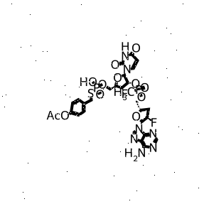 CC(=O)Oc1ccc(CSP(=O)(O)OC[C@H]2O[C@@H](n3ccc(=O)[nH]c3=O)[C@H](OP(C)(=O)OC[C@@H]3C[C@@H](F)[C@H](n4cnc5c(N)ncnc54)O3)[C@@H]2F)cc1